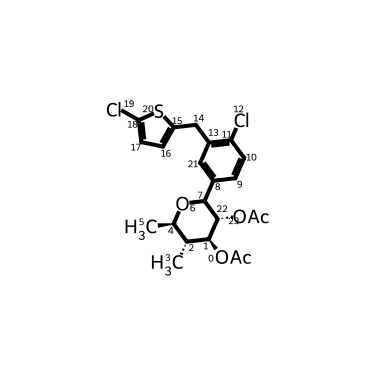 CC(=O)O[C@H]1[C@H](C)[C@@H](C)OC(c2ccc(Cl)c(Cc3ccc(Cl)s3)c2)[C@@H]1OC(C)=O